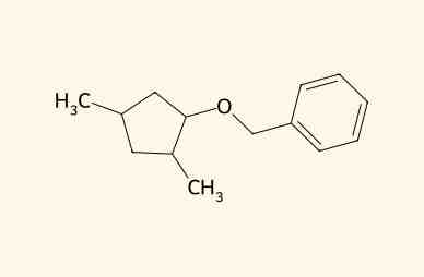 CC1CC(C)C(OCc2ccccc2)C1